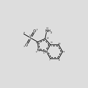 CS(=O)(=O)c1nn2ccc[c]c2c1N